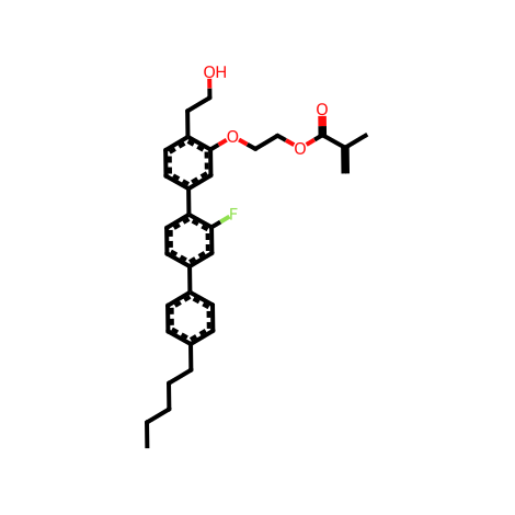 C=C(C)C(=O)OCCOc1cc(-c2ccc(-c3ccc(CCCCC)cc3)cc2F)ccc1CCO